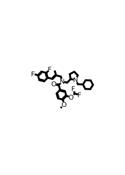 COc1ccc(C(=O)N(CC(C)=Cc2ccc(F)cc2F)CC2CCCN2CC2CCCCC2)cc1OC(F)F